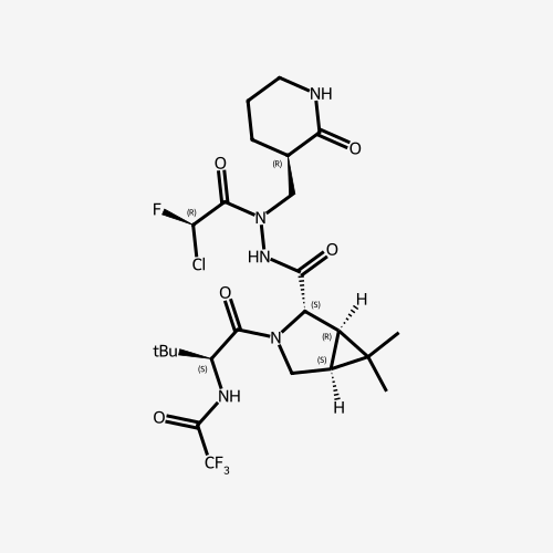 CC(C)(C)[C@H](NC(=O)C(F)(F)F)C(=O)N1C[C@H]2[C@@H]([C@H]1C(=O)NN(C[C@H]1CCCNC1=O)C(=O)[C@H](F)Cl)C2(C)C